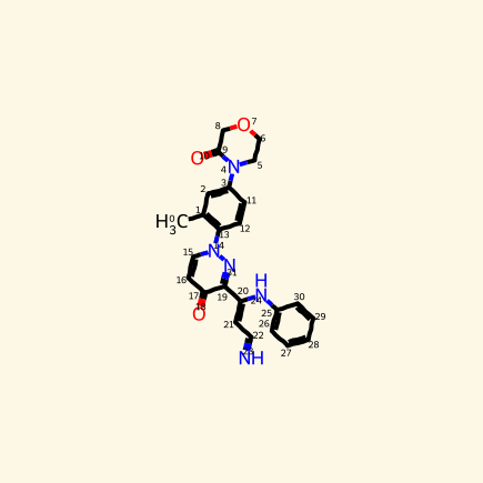 Cc1cc(N2CCOCC2=O)ccc1-n1ccc(=O)c(/C(=C/C=N)Nc2ccccc2)n1